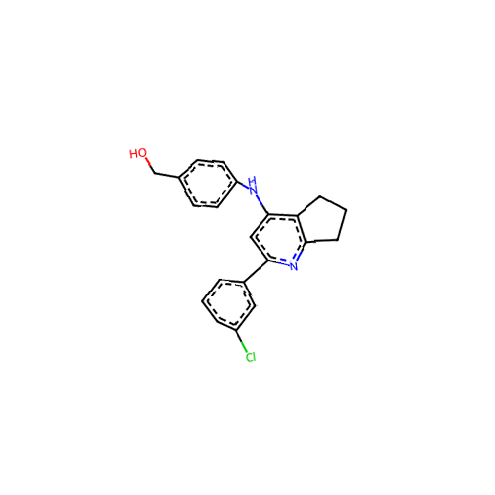 OCc1ccc(Nc2cc(-c3cccc(Cl)c3)nc3c2CCC3)cc1